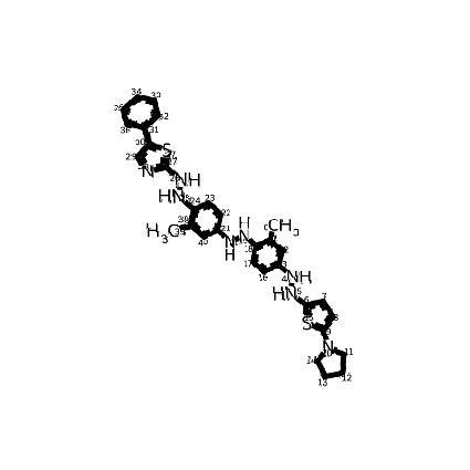 Cc1cc(NNc2ccc(N3CCCC3)s2)ccc1NNc1ccc(NNc2ncc(-c3ccccc3)s2)c(C)c1